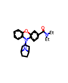 CCN(CC)C(=O)c1ccc2c(c1)Oc1ccccc1N2C1CC2CCC(C1)N2